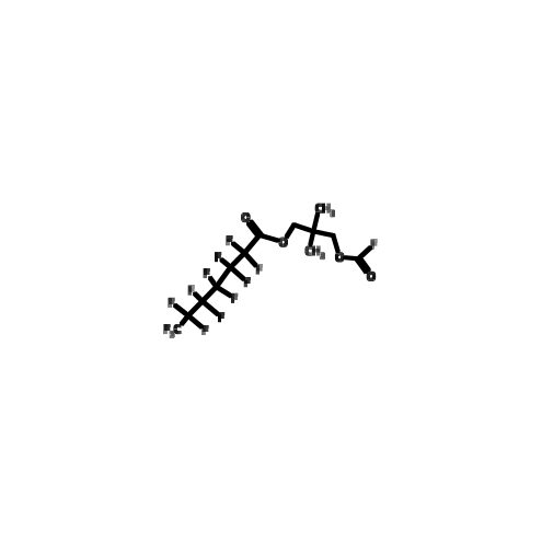 CC(C)(COC(=O)F)COC(=O)C(F)(F)C(F)(F)C(F)(F)C(F)(F)C(F)(F)C(F)(F)F